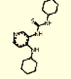 S=C(Nc1cnccc1NC1CCCCC1)NC1CCCCC1